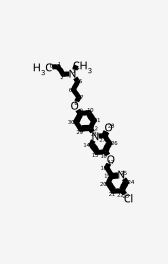 CCCN(C)CCCOc1ccc(-n2ccc(OCc3ccc(Cl)cn3)cc2=O)cc1